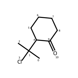 CC(C)(Cl)C1CCCCC1=O